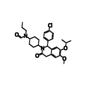 CCCN(C=O)C1CCC(N2C(=O)Cc3cc(OC)c(OC(C)C)cc3C2c2ccc(Cl)cc2)CC1